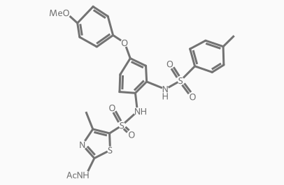 COc1ccc(Oc2ccc(NS(=O)(=O)c3sc(NC(C)=O)nc3C)c(NS(=O)(=O)c3ccc(C)cc3)c2)cc1